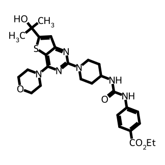 CCOC(=O)c1ccc(NC(=O)NC2CCN(c3nc(N4CCOCC4)c4sc(C(C)(C)O)cc4n3)CC2)cc1